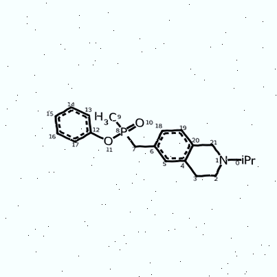 CC(C)N1CCc2cc(CP(C)(=O)Oc3ccccc3)ccc2C1